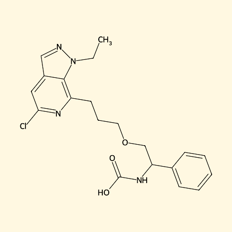 CCn1ncc2cc(Cl)nc(CCCOCC(NC(=O)O)c3ccccc3)c21